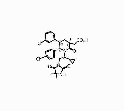 CC1(C)NC(=O)N(C[C@H](C2CC2)N2C(=O)[C@@](C)(CC(=O)O)C[C@H](c3cccc(Cl)c3)[C@H]2c2ccc(Cl)cc2)C1=O